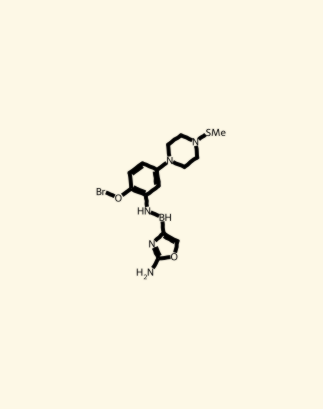 CSN1CCN(c2ccc(OBr)c(NBc3coc(N)n3)c2)CC1